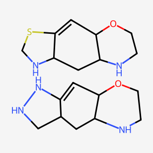 C1=C2NNCC2CC2NCCOC12.C1=C2SCNC2CC2NCCOC12